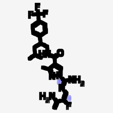 C=C(N)/C(F)=C\N=C(/N)n1cc(C(=O)NCC(CC(C)C)c2ccc(C(F)(F)F)cc2)c(C)n1